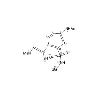 CN/C=C(\S)c1ccc(NC(C)=O)cc1S(=O)(=O)NC(C)(C)C